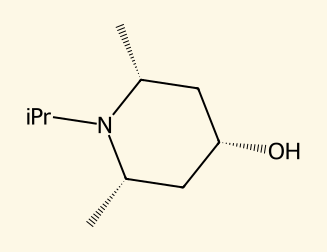 CC(C)N1[C@H](C)C[C@H](O)C[C@@H]1C